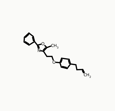 C=CCCc1ccc(OCCc2nc(-c3ccccc3)oc2C)cc1